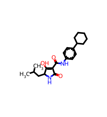 CC(C)CC1NC(=O)C(C(=O)Nc2ccc(C3CCCCC3)cc2)=C1O